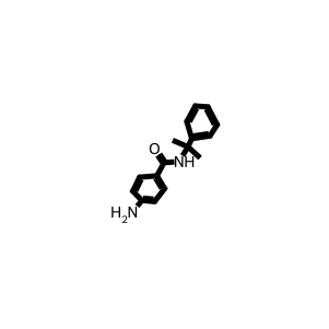 CC(C)(NC(=O)c1ccc(N)cc1)c1ccccc1